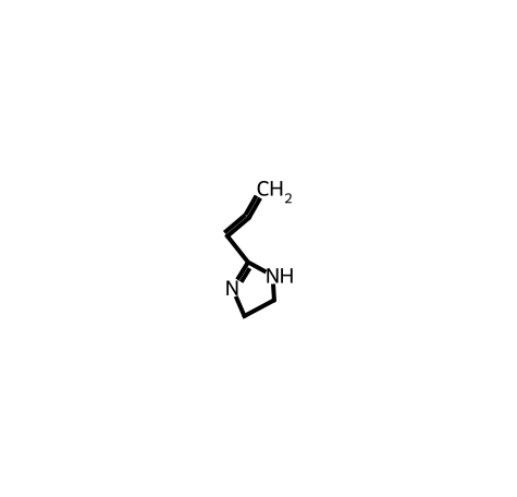 C=C=CC1=NCCN1